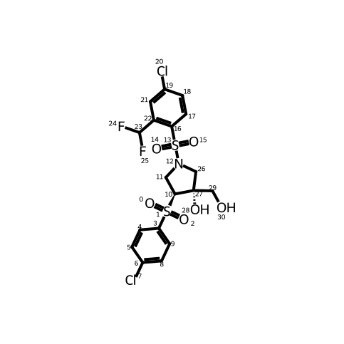 O=S(=O)(c1ccc(Cl)cc1)[C@H]1CN(S(=O)(=O)c2ccc(Cl)cc2C(F)F)C[C@@]1(O)CO